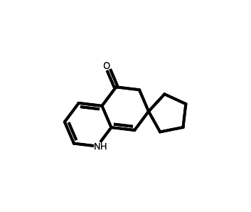 O=C1CC2(C=C3NC=CC=C13)CCCC2